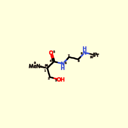 CN[C@H](CO)C(=O)NCCNC(C)C